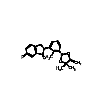 C=C1OB(c2cccc(N3Cc4ccc(F)cc4C3=O)c2C)OC1(C)C